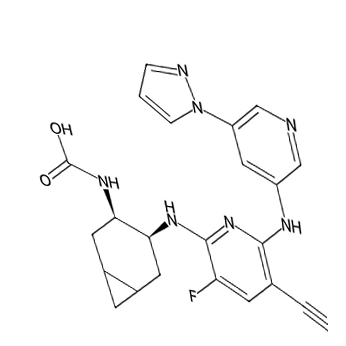 N#Cc1cc(F)c(N[C@H]2CC3CC3C[C@H]2NC(=O)O)nc1Nc1cncc(-n2cccn2)c1